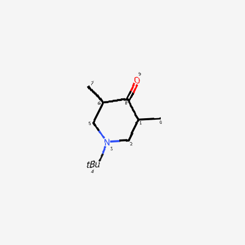 CC1CN(C(C)(C)C)CC(C)C1=O